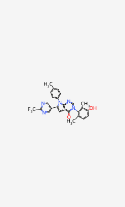 Cc1ccc(-n2c(-c3cnc(C(F)(F)F)nc3)cc3c(=O)n(-c4c(C)ccc(O)c4C)cnc32)cc1